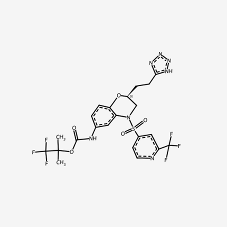 CC(C)(OC(=O)Nc1ccc2c(c1)N(S(=O)(=O)c1ccnc(C(F)(F)F)c1)C[C@H](CCc1nnn[nH]1)O2)C(F)(F)F